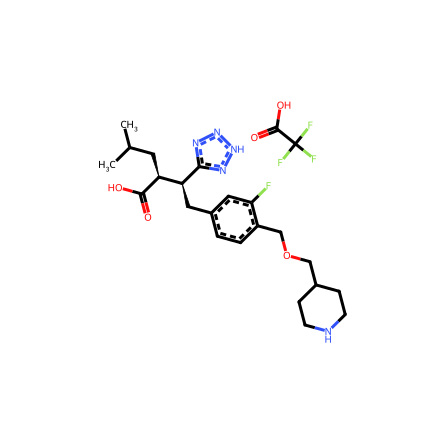 CC(C)C[C@H](C(=O)O)[C@H](Cc1ccc(COCC2CCNCC2)c(F)c1)c1nn[nH]n1.O=C(O)C(F)(F)F